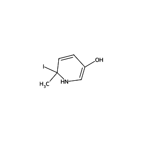 CC1(I)C=CC(O)=CN1